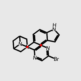 Brc1cnc(N2CC3CC(C2)N3Cc2ccc3[nH]ccc3c2)cn1